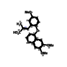 COc1ccc(Oc2ccnc3cc(OC)c(OC)cc23)c(/C=C(\C)C(=O)O)c1